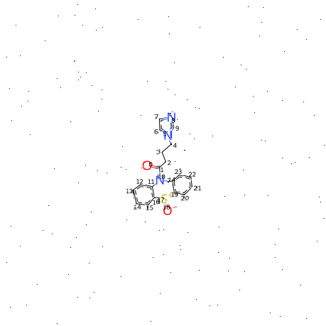 O=C(CCCn1ccnc1)N1c2ccccc2[S+]([O-])c2ccccc21